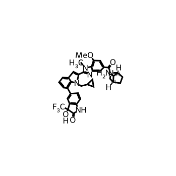 COc1cc(C(=O)N2C[C@H]3CC[C@@H]2C3N)cc2nc(-c3cc4cccc(-c5ccc6c(c5)C(O)(C(F)(F)F)C(=O)N6)c4n3CC3CC3)n(C)c12